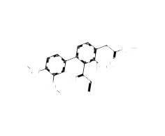 C=CC(=O)c1c(-c2ccc(OC)c(OC)c2)ccc(CC(=O)O)c1O